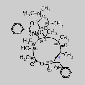 CC[C@H]1OC(=O)[C@H](C)[C@@H](O)[C@H](C)[C@@H](OC2O[C@H](C)C[C@H](N(C)C)[C@H]2OC(=O)c2ccccc2)[C@@](C)(OC)C[C@@H](C)C(=O)/C(C)=C/[C@@]1(O)Cc1ccccc1